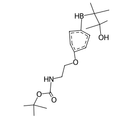 CC(C)(C)OC(=O)NCCOc1ccc(BC(C)(C)C(C)(C)O)cc1